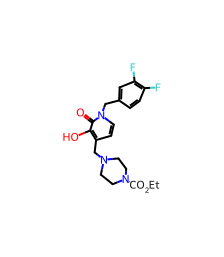 CCOC(=O)N1CCN(Cc2ccn(Cc3ccc(F)c(F)c3)c(=O)c2O)CC1